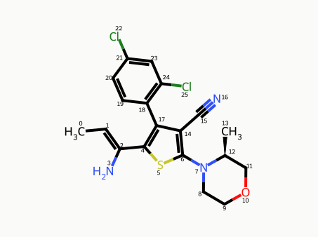 CC=C(N)c1sc(N2CCOC[C@@H]2C)c(C#N)c1-c1ccc(Cl)cc1Cl